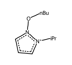 CCCCOn1ccc[n+]1C(C)C